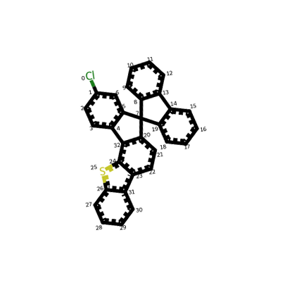 Clc1ccc2c(c1)C1(c3ccccc3-c3ccccc31)c1ccc3c(sc4ccccc43)c1-2